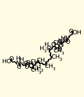 CC(C=CC=C(C)C=CC1=C(C)C(=O)C(OC(=O)CNC(=O)NCCCC(=O)O)CC1(C)C)=CC=CC=C(C)C=CC=C(C)C=CC1=C(C)C(=O)C(OC(=O)CNC(=O)NCCCC(=O)O)CC1(C)C